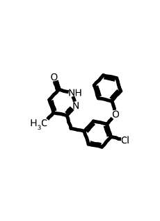 Cc1cc(=O)[nH]nc1Cc1ccc(Cl)c(Oc2ccccc2)c1